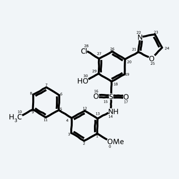 COc1ccc(-c2cccc(C)c2)cc1NS(=O)(=O)c1cc(-c2ncco2)cc(Cl)c1O